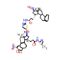 Cc1cnc(NC(=O)CC[C@@H]2C/C(=N\Oc3cnc(NC(=O)CC[C@@H]4C/C(=N\O)[C@@]5(C)CCC6c7ccccc7CCC6C45)s3)[C@@]3(C)CCC4c5cc([N+](=O)[O-])c(O)cc5CCC4C23)s1